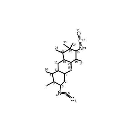 CC1CC(N=C=O)C(C)C(C)C1CC1C(C)C(C)C(N=C=O)C(C)(C)C1C